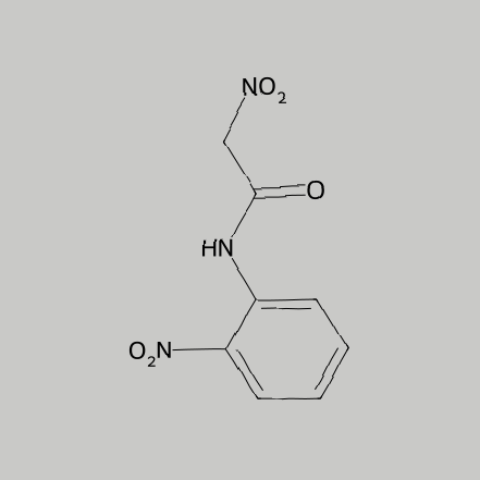 O=C(C[N+](=O)[O-])Nc1ccccc1[N+](=O)[O-]